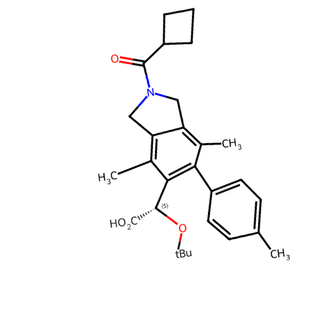 Cc1ccc(-c2c(C)c3c(c(C)c2[C@H](OC(C)(C)C)C(=O)O)CN(C(=O)C2CCC2)C3)cc1